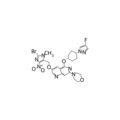 Cn1c(Br)nc([N+](=O)[O-])c1COc1cnc2cc(N3CCOCC3)nc(O[C@H]3CC[C@@H](n4cc(F)cn4)CC3)c2c1